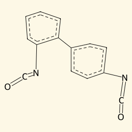 O=C=Nc1ccc(-c2ccccc2N=C=O)cc1